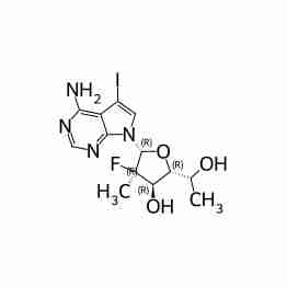 CC(O)[C@H]1O[C@@H](n2cc(I)c3c(N)ncnc32)[C@](C)(F)[C@@H]1O